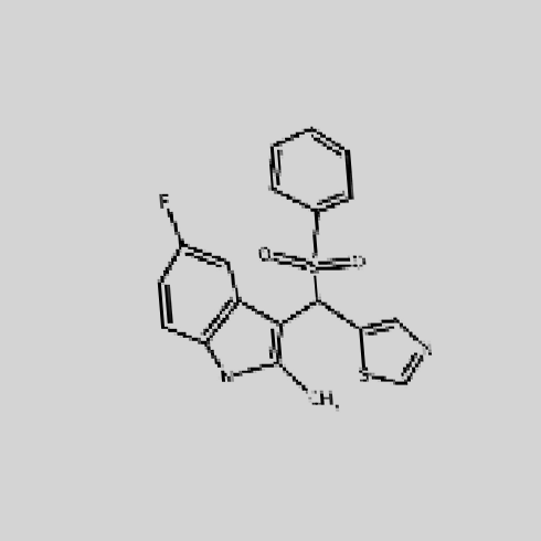 CC1=C(C(c2cncs2)S(=O)(=O)c2ccccc2)c2cc(F)ccc2[N]1